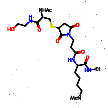 CCNC(=O)C(CCCCNC)NC(=O)CCN1C(=O)CC(SCC(NC(C)=O)C(=O)NCCO)C1=O